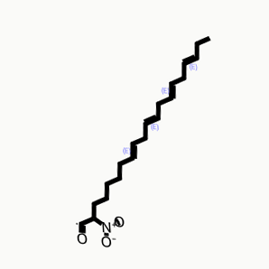 CC/C=C/C/C=C/C/C=C/C/C=C/CCCCCC([C]=O)[N+](=O)[O-]